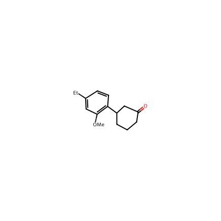 CCc1ccc(C2CCCC(=O)C2)c(OC)c1